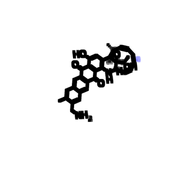 Cc1cc2cc3c(cc2cc1CN)C(=O)c1c2c(cc(O)c1C3=O)[C@@]13O[C@@]1([C@@H](C)O)[C@H](C#C/C=C\C#C[C@H]3C)N2